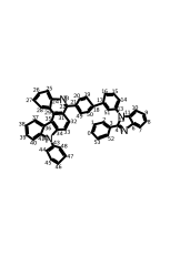 c1ccc(-c2nc3ccccc3n2-c2cccc(-c3ccc(-c4nc5ccccc5c5c4ccc4c5c5ccccc5n4-c4ccccc4)cc3)c2)cc1